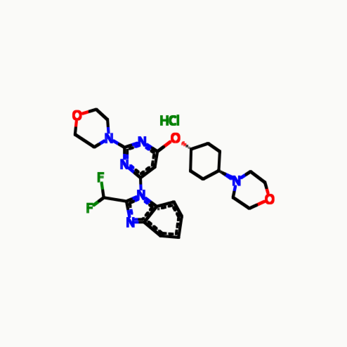 Cl.FC(F)c1nc2ccccc2n1-c1cc(O[C@H]2CC[C@H](N3CCOCC3)CC2)nc(N2CCOCC2)n1